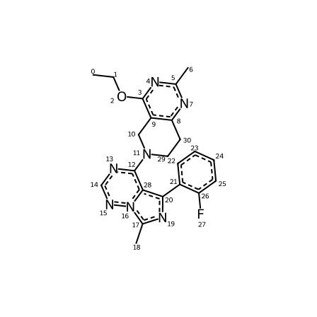 CCOc1nc(C)nc2c1CN(c1ncnn3c(C)nc(-c4ccccc4F)c13)CC2